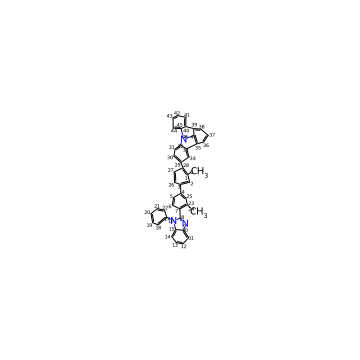 Cc1cc(-c2ccc(-c3nc4ccccc4n3-c3ccccc3)c(C)c2)ccc1-c1ccc2c(c1)c1cccc3c4ccccc4n2c31